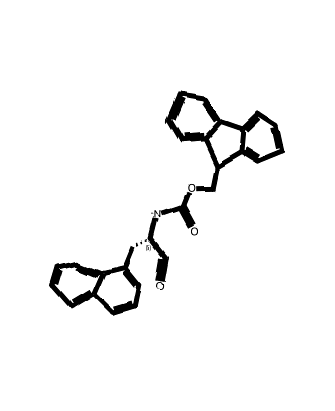 O=C[C@H](Cc1cccc2ccccc12)[N]C(=O)OCC1c2ccccc2-c2ccccc21